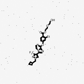 CCc1cc(Oc2nccn3c(-c4cn(CC5CCC5)nc4C(F)(F)F)cnc23)ccc1C(=O)OCCOCCO